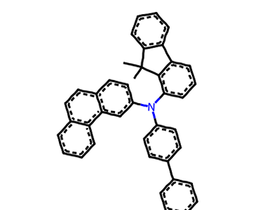 CC1(C)c2ccccc2-c2cccc(N(c3ccc(-c4ccccc4)cc3)c3ccc4ccc5ccccc5c4c3)c21